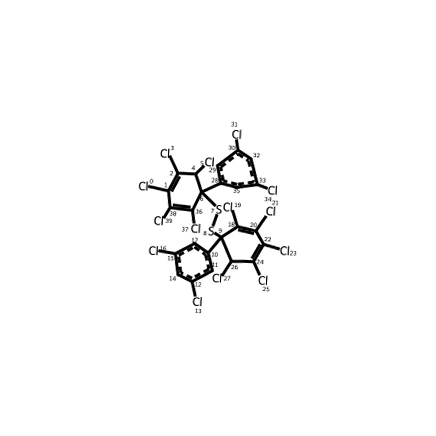 ClC1=C(Cl)C(Cl)C(SSC2(c3cc(Cl)cc(Cl)c3)C(Cl)=C(Cl)C(Cl)=C(Cl)C2Cl)(c2cc(Cl)cc(Cl)c2)C(Cl)=C1Cl